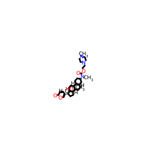 CN1CCN(CCOC(=O)N(C)[C@H]2CC[C@@]3(C)[C@H](CC[C@@H]4[C@@H]3CC[C@]3(C)[C@@H](c5ccc(=O)oc5)CC[C@]43O)C2)CC1